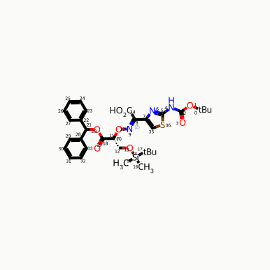 CC(C)(C)OC(=O)Nc1nc(/C(=N/O[C@H](CO[Si](C)(C)C(C)(C)C)C(=O)OC(c2ccccc2)c2ccccc2)C(=O)O)cs1